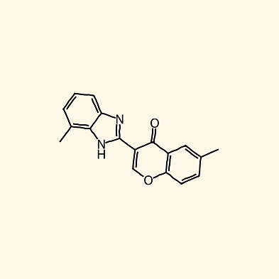 Cc1ccc2occ(-c3nc4cccc(C)c4[nH]3)c(=O)c2c1